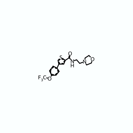 O=C(NCCN1CCOCC1)c1cc(-c2ccc(OC(F)(F)F)cc2)cs1